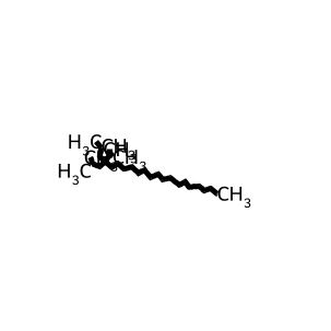 CCCCCCCCCCCCCCCCCCC(CC(C)C)(CC(C)C)C(C)C